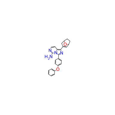 Nc1nccc2c(C3=CC4CCC(C3)O4)nc(-c3ccc(Oc4ccccc4)cc3)n12